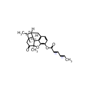 C/C=C/C=C/C(=O)Oc1ccc2c3c1O[C@@]1(C)C(=O)CC45C[C@]31[C@@H]4[C@@H](C2)N5C